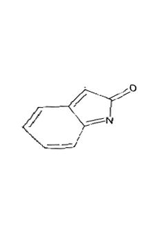 O=C1[C]=c2ccccc2=N1